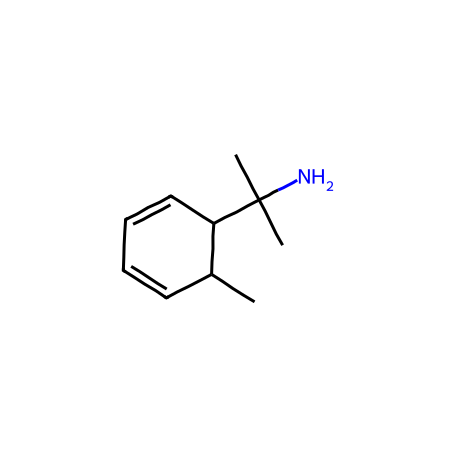 CC1C=CC=CC1C(C)(C)N